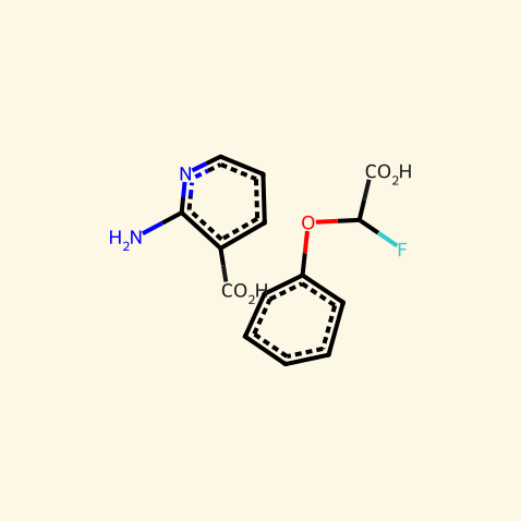 Nc1ncccc1C(=O)O.O=C(O)C(F)Oc1ccccc1